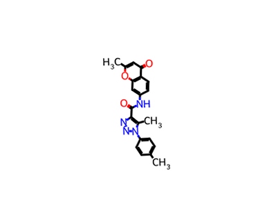 Cc1ccc(-n2nnc(C(=O)Nc3ccc4c(=O)cc(C)oc4c3)c2C)cc1